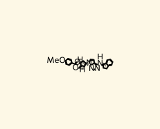 COc1ccc(C2OC[C@@H]3C[C@@H](n4ccc5c(N[C@H]6CCc7ccccc76)ncnc54)C[C@@H]3O2)cc1